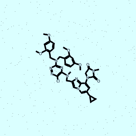 COc1ccc(CN(Cc2ccc(OC)cc2OC)c2nnc(Cl)c(N(C)Cc3cn4cc(C5CC5)cc(N5CC(=O)N(C)C5=O)c4n3)n2)c(OC)c1